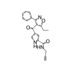 C#CCNC(=O)c1cc(C(=O)c2c(-c3ccccc3)noc2CC)c[nH]1